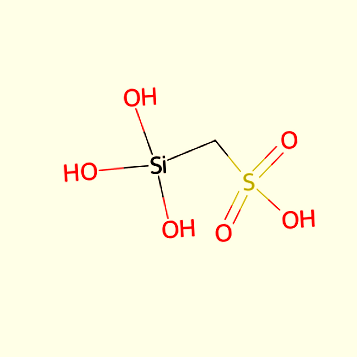 O=S(=O)(O)C[Si](O)(O)O